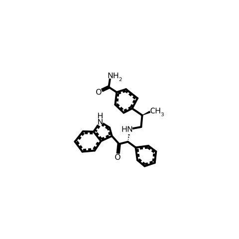 C[C@@H](CN[C@@H](C(=O)c1c[nH]c2ccccc12)c1ccccc1)c1ccc(C(N)=O)cc1